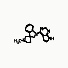 CN1CCC2(C1)CN(c1ncnc3[nH]ccc13)c1ccccc12